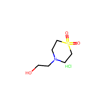 Cl.O=S1(=O)CCN(CCO)CC1